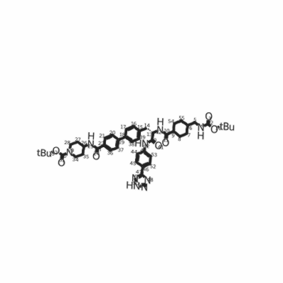 CC(C)(C)OC(=O)NCC1CCC(C(=O)N[C@@H](Cc2ccc(-c3ccc(C(=O)NC4CCN(C(=O)OC(C)(C)C)CC4)cc3)cc2)C(=O)Nc2ccc(-c3nn[nH]n3)cc2)CC1